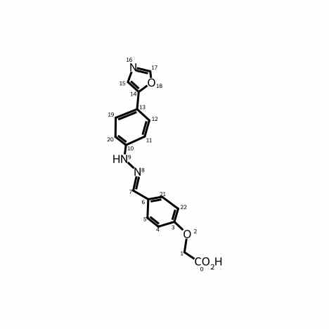 O=C(O)COc1ccc(/C=N/Nc2ccc(-c3cnco3)cc2)cc1